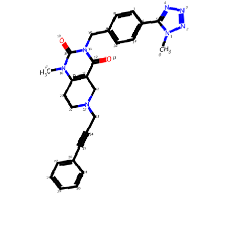 Cn1nnnc1-c1ccc(Cn2c(=O)c3c(n(C)c2=O)CCN(CC#Cc2ccccc2)C3)cc1